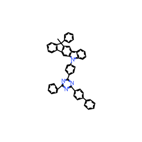 CC1(c2ccccc2)c2ccccc2-c2cc3c(cc21)c1ccccc1n3-c1ccc(-c2nc(-c3ccccc3)nc(-c3ccc(-c4ccccc4)cc3)n2)cc1